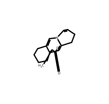 CC1C(=O)OC2=C3CCC=CN3C=C3CCCCC321